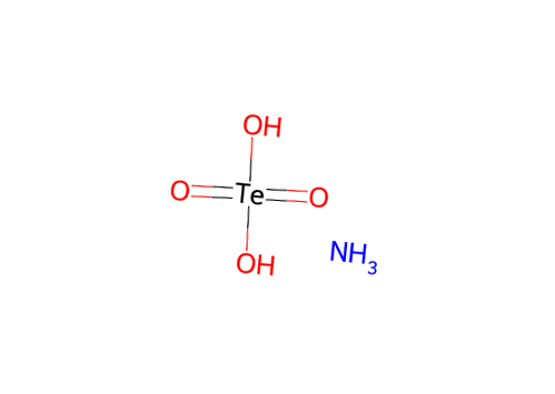 N.O=[Te](=O)(O)O